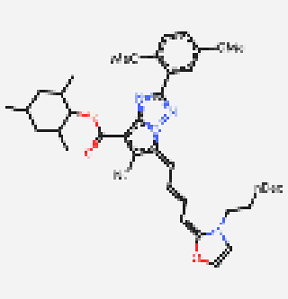 CCCCCCCCCCCCN1C=CO/C1=C/C=C/C=c1\c(C#N)c(C(=O)OC2C(C)CC(C)CC2C)c2nc(-c3cc(OC)ccc3OC)nn12